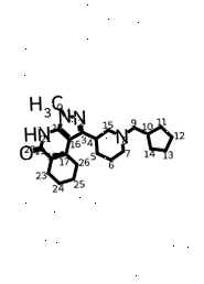 Cn1nc(C2CCCN(CC3CCCC3)C2)c2c3c(c(=O)[nH]c21)CCCC3